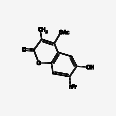 CCCc1cc2oc(=O)c(C)c(OC(C)=O)c2cc1O